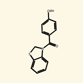 COc1ccc(C(=O)N2CSc3ccccc32)cc1